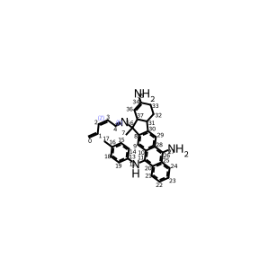 C=C/C=C\C=N\C1(C)c2cc3c(Nc4ccc(C)cc4)c4ccccc4c(N)c3cc2C2CCC(N)=CC21